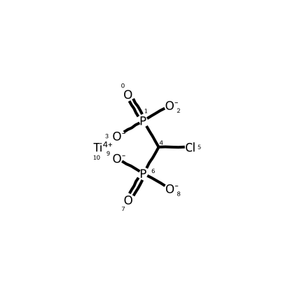 O=P([O-])([O-])C(Cl)P(=O)([O-])[O-].[Ti+4]